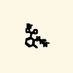 Cc1cccc(C(=O)OBr)c1N=[N+]=[N-]